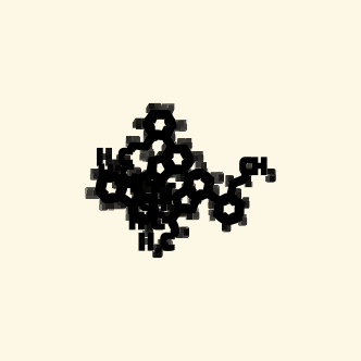 CCCc1ccccc1-c1cccc2c1C=C(C(C)CC)[CH]2[Hf]([c]1cccc2c1[SiH2]c1ccccc1-2)[CH]1C(C(C)CC)=Cc2c(-c3ccccc3CCC)cccc21